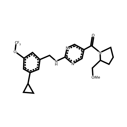 COCC1CCCN1C(=O)c1cnc(NCc2cc(OC(F)(F)F)cc(C3CC3)c2)nc1